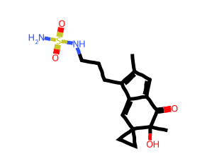 CC1=C(CCCNS(N)(=O)=O)C2=CC3(CC3)C(C)(O)C(=O)C2=C1